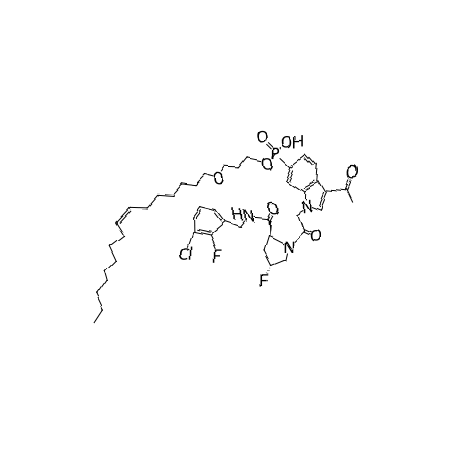 CCCCCCCC/C=C\CCCCCCOCCCOP(=O)(O)c1ccc2c(C(C)=O)cn(CC(=O)N3C[C@H](F)C[C@H]3C(=O)NCc3cccc(Cl)c3F)c2c1